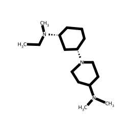 CCN(C)[C@@H]1CCC[C@H](N2CCC(N(C)C)CC2)C1